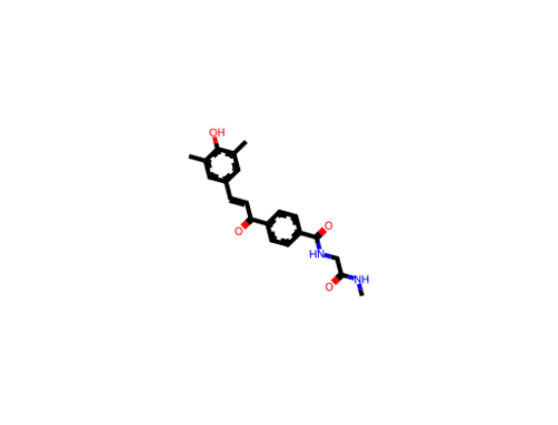 CNC(=O)CNC(=O)c1ccc(C(=O)C=Cc2cc(C)c(O)c(C)c2)cc1